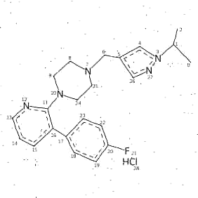 CC(C)n1cc(CN2CCN(c3ncccc3-c3ccc(F)cc3)CC2)cn1.Cl